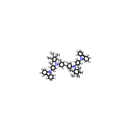 [2H]c1c([2H])c([2H])c(N(c2ccc(-c3ccc(N(c4ccc(-n5c6ccccc6c6ccccc65)cc4)c4c([2H])c([2H])c([2H])c([2H])c4[2H])cc3)cc2)c2ccc(-n3c4ccccc4c4ccccc43)cc2)c([2H])c1[2H]